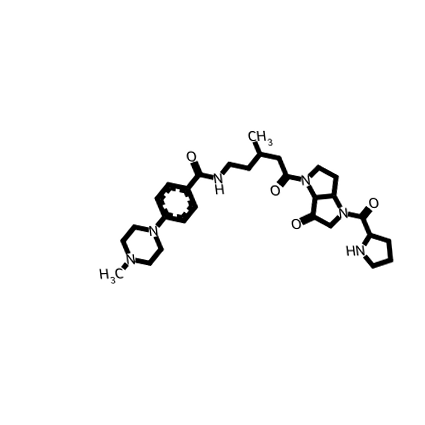 CC(CCNC(=O)c1ccc(N2CCN(C)CC2)cc1)CC(=O)N1CCC2C1C(=O)CN2C(=O)C1CCCN1